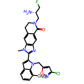 COc1cccc2cc(-c3nc4cc5c(cc4n3C)CCN(C[C@H](N)CF)C5=O)n(Cc3cc(Cl)no3)c12